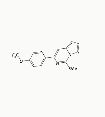 CSc1nc(-c2ccc(OC(F)(F)F)cc2)cc2ccnn12